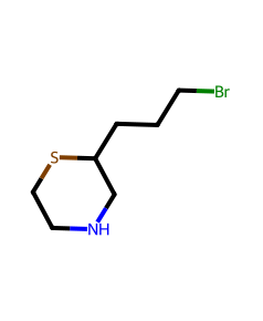 BrCCCC1CNCCS1